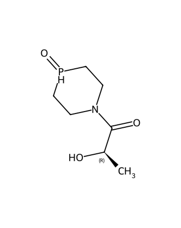 C[C@@H](O)C(=O)N1CC[PH](=O)CC1